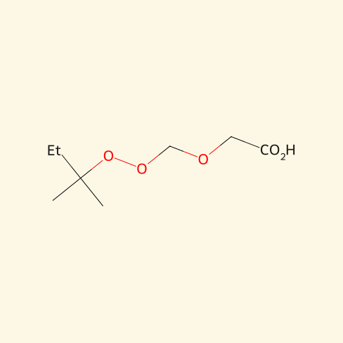 CCC(C)(C)OOCOCC(=O)O